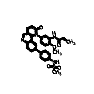 C=CC(=O)Nc1cc(-n2c(=O)ccc3cnc4ccc(-c5ccc(NS(C)(=O)=O)cc5)cc4c32)ccc1OC